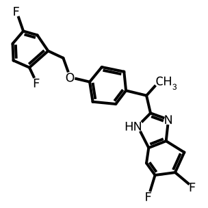 CC(c1ccc(OCc2cc(F)ccc2F)cc1)c1nc2cc(F)c(F)cc2[nH]1